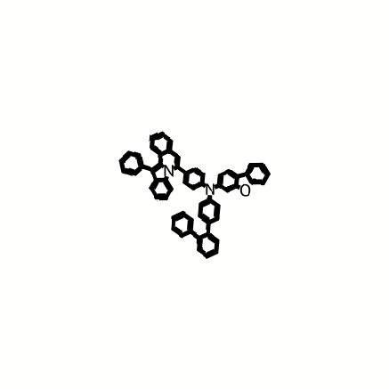 c1ccc(-c2ccccc2-c2ccc(N(c3ccc(-c4cc5ccccc5c5c(-c6ccccc6)c6ccccc6n45)cc3)c3ccc4c(c3)oc3ccccc34)cc2)cc1